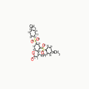 CCCc1cc(=O)oc2cc(S(=O)(=O)c3ccc(C)cc3)cc(S(=O)(=O)c3ccc(C)cc3)c12